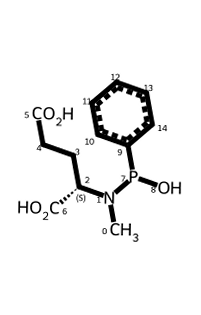 CN([C@@H](CCC(=O)O)C(=O)O)P(O)c1ccccc1